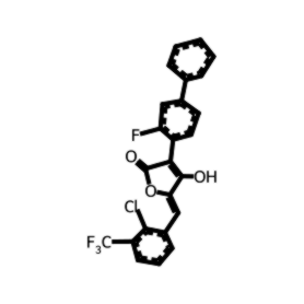 O=C1OC(=Cc2cccc(C(F)(F)F)c2Cl)C(O)=C1c1ccc(-c2ccccc2)cc1F